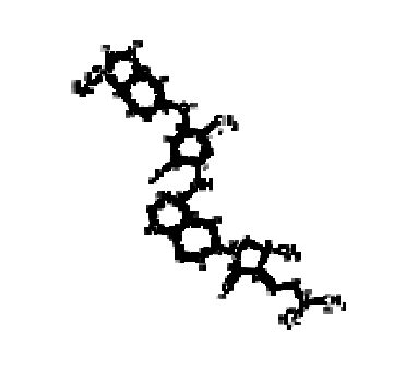 Cc1cc(Nc2ncnc3cnc(N4C[C@H](C)/C(=C\CN(C)C)C4=O)cc23)c(F)cc1Oc1ccc2c(c1)nnn2C